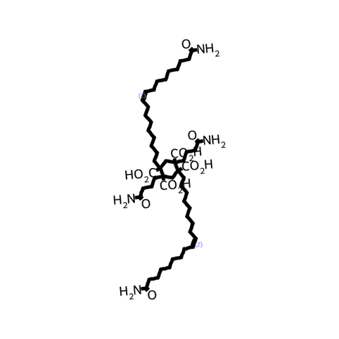 NC(=O)CCCCCCC/C=C\CCCCCCCCC1(C(=O)O)CC(CCCC(N)=O)(C(=O)O)C(CCCCCCCC/C=C\CCCCCCCC(N)=O)(C(=O)O)CC1(CCCC(N)=O)C(=O)O